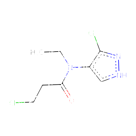 CCN(C(=O)CCCl)c1c[nH]nc1Cl